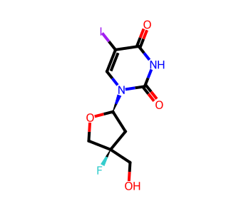 O=c1[nH]c(=O)n([C@H]2C[C@](F)(CO)CO2)cc1I